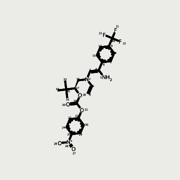 C=CN(/C=C(\N)c1ccc(C(F)(F)F)cc1)C[C@@H](OC(=O)Oc1ccc([N+](=O)[O-])cc1)C(C)(C)C